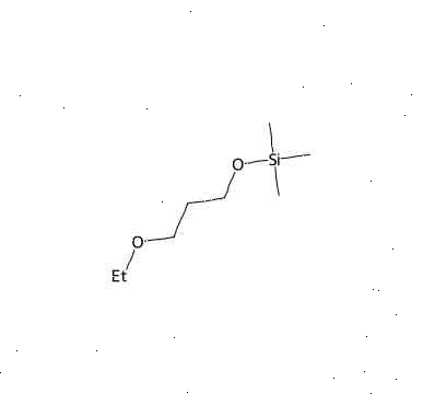 CCOCCCO[Si](C)(C)C